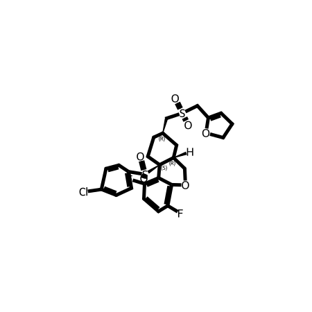 O=S(=O)(CC1=CCCO1)C[C@@H]1CC[C@@]2(S(=O)(=O)c3ccc(Cl)cc3)c3c(F)ccc(F)c3OC[C@H]2C1